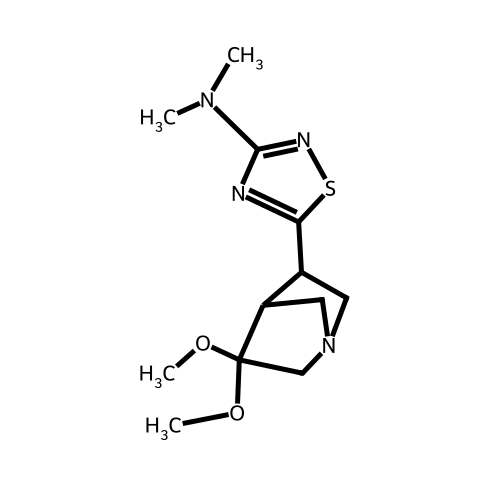 COC1(OC)CN2CC(c3nc(N(C)C)ns3)C1C2